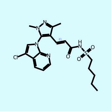 CCCCCS(=O)(=O)NC(=O)/C=C/c1c(C)nn(C)c1-n1cc(Cl)c2cccnc21